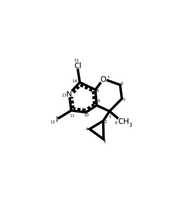 CC1(C2CC2)CCOc2c1cc(I)nc2Cl